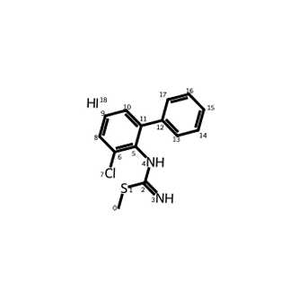 CSC(=N)Nc1c(Cl)cccc1-c1ccccc1.I